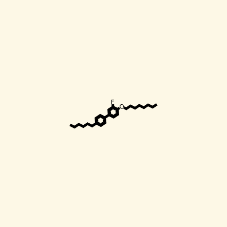 CCCCCCCCOc1ccc(-c2ccc(CCCCCC)cc2)cc1F